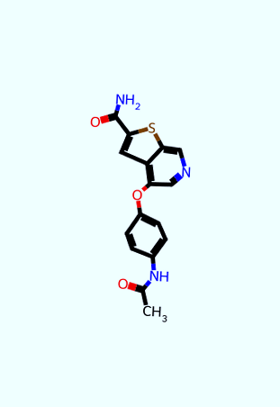 CC(=O)Nc1ccc(Oc2cncc3sc(C(N)=O)cc23)cc1